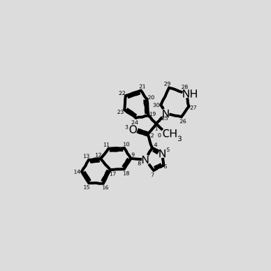 CC(C(=O)c1nccn1-c1ccc2ccccc2c1)(c1ccccc1)N1CCNCC1